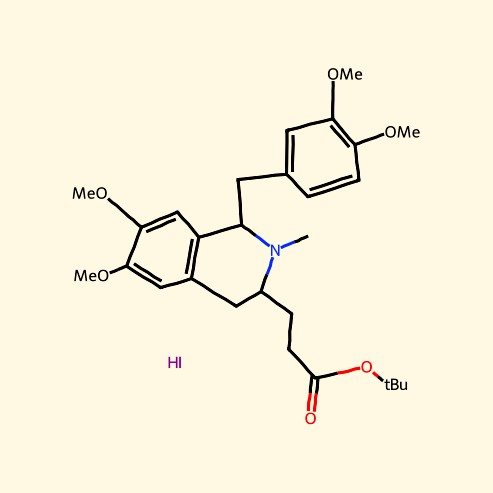 COc1ccc(CC2c3cc(OC)c(OC)cc3CC(CCC(=O)OC(C)(C)C)N2C)cc1OC.I